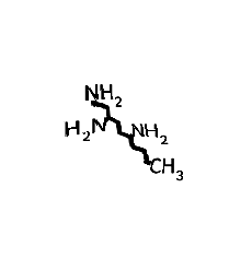 CCCCC(N)CCC(N)CCN